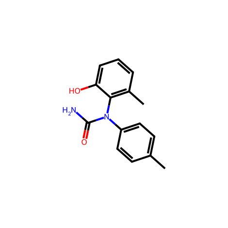 Cc1ccc(N(C(N)=O)c2c(C)cccc2O)cc1